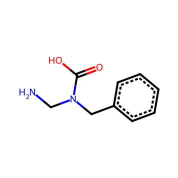 NCN(Cc1ccccc1)C(=O)O